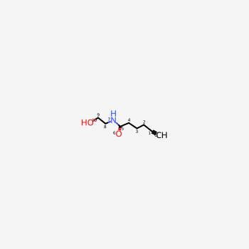 C#CCCCC(=O)NCCO